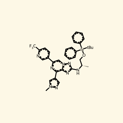 C[C@@H](CO[Si](c1ccccc1)(c1ccccc1)C(C)(C)C)Nc1nc2c(-c3cnn(C)c3)nc(-c3ccc(C(F)(F)F)nc3)cn2n1